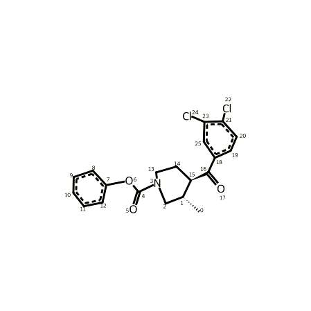 C[C@@H]1CN(C(=O)Oc2ccccc2)CC[C@H]1C(=O)c1ccc(Cl)c(Cl)c1